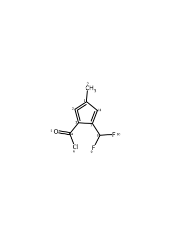 CC1=C=C(C(=O)Cl)C(C(F)F)=C1